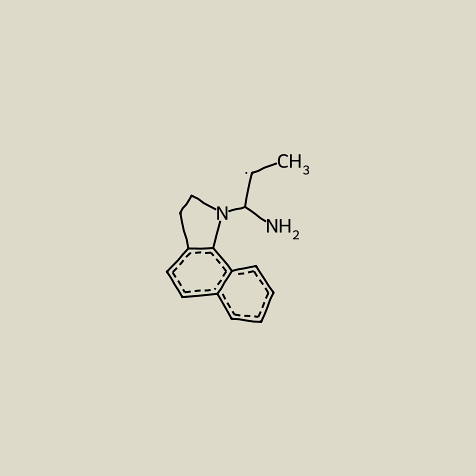 C[CH]C(N)N1CCc2ccc3ccccc3c21